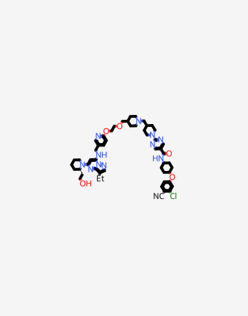 CCc1cnn2c(NCc3ccc(OCCOCC4CCN(CC5CCN(c6ncc(C(=O)NC7CCC(Oc8ccc(C#N)c(Cl)c8)CC7)cn6)CC5)CC4)nc3)cc(N3CCCC[C@H]3CCO)nc12